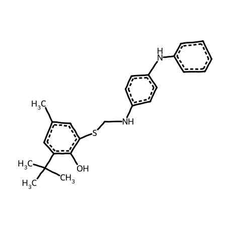 Cc1cc(SCNc2ccc(Nc3ccccc3)cc2)c(O)c(C(C)(C)C)c1